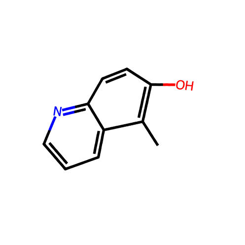 Cc1c(O)ccc2ncccc12